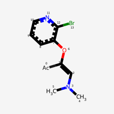 CC(=O)/C(=C\N(C)C)Oc1cccnc1Br